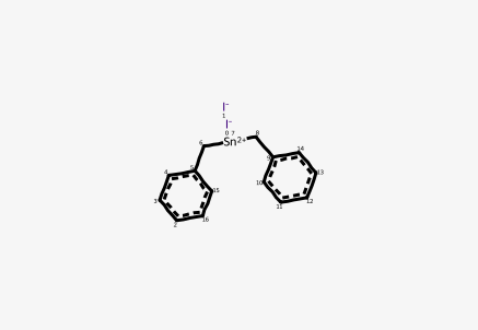 [I-].[I-].c1ccc([CH2][Sn+2][CH2]c2ccccc2)cc1